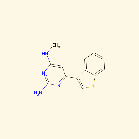 CNc1cc(-c2csc3ccccc23)nc(N)n1